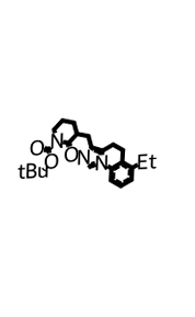 CCc1cccc2c1CCc1c(CC3CCCN(C(=O)OC(C)(C)C)C3=O)ncn1-2